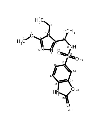 CCn1c(OC)nnc1[C@@H](C)NS(=O)(=O)c1ccc2[nH]c(=O)oc2c1